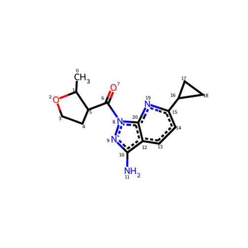 CC1OCCC1C(=O)n1nc(N)c2ccc(C3CC3)nc21